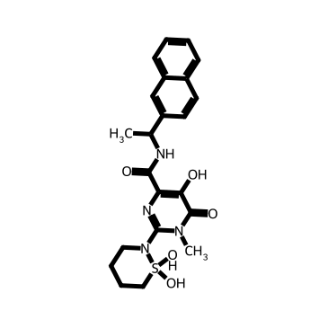 CC(NC(=O)c1nc(N2CCCCS2(O)O)n(C)c(=O)c1O)c1ccc2ccccc2c1